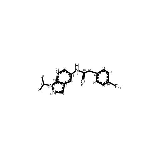 CC(C)n1ncc2cc(NC(=O)Cc3ccc(F)cc3)cnc21